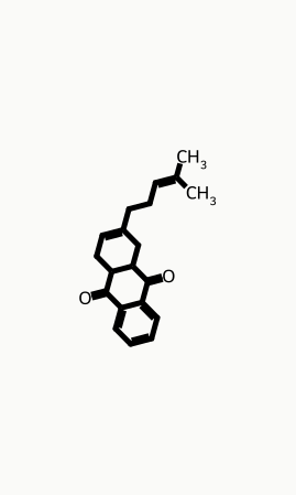 CC(C)=CCCC1=CCC2C(=O)c3ccccc3C(=O)C2C1